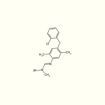 Cc1cc(N=CN(C)C(C)C)c(C)cc1Cc1ccccc1Cl